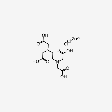 O=C(O)CN(CCN(CC(=O)O)CC(=O)O)CC(=O)O.[Cl-].[Cl-].[Zn+2]